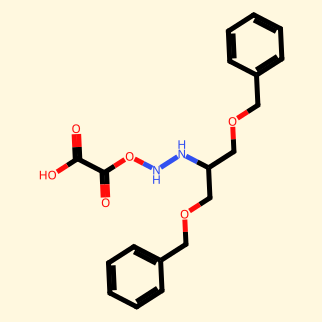 O=C(O)C(=O)ONNC(COCc1ccccc1)COCc1ccccc1